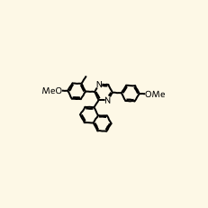 COc1ccc(-c2cnc(-c3ccc(OC)cc3C)c(-c3cccc4ccccc34)n2)cc1